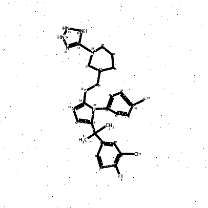 CC(C)(c1ccc(Cl)c(Cl)c1)c1cnc(SCC2CCCN(C3=NNNN3)C2)n1-c1ccc(F)cc1